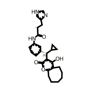 O=C([CH]Cc1c[nH]cn1)Nc1cccc([C@@H](c2c(O)c3c(oc2=O)CCCCCC3)C2CC2)c1